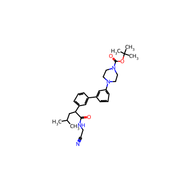 CC(C)CC(C(=O)NCC#N)c1cccc(-c2cccc(N3CCN(C(=O)OC(C)(C)C)CC3)c2)c1